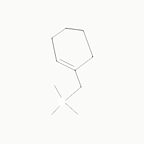 C[Si](C)(C)CC1=CCCCC1